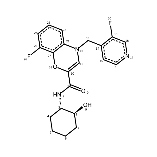 O=C(N[C@H]1CCCC[C@@H]1O)C1=CN(Cc2ccncc2F)c2cccc(F)c2O1